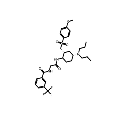 CCCN(CCC)[C@@H]1CCC(NC(=O)CNC(=O)c2cccc(C(F)(F)F)c2)[C@H](CS(=O)(=O)c2ccc(SC)cc2)C1